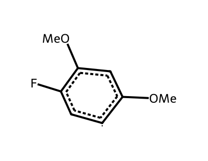 COc1[c]cc(F)c(OC)c1